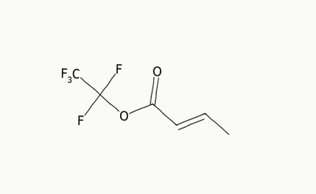 CC=CC(=O)OC(F)(F)C(F)(F)F